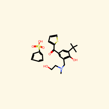 CN(CCO)Cc1cc(C(=O)c2cccs2)cc(C(C)(C)C)c1O.O=S(=O)(O)c1ccccc1